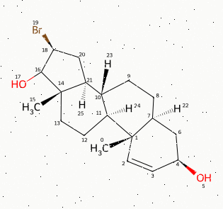 C[C@]12C=C[C@H](O)C[C@@H]1CC[C@@H]1[C@@H]2CC[C@]2(C)C(O)[C@@H](Br)C[C@@H]12